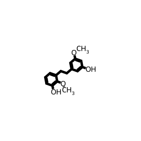 COc1cc(O)cc(CCc2cccc(O)c2OC)c1